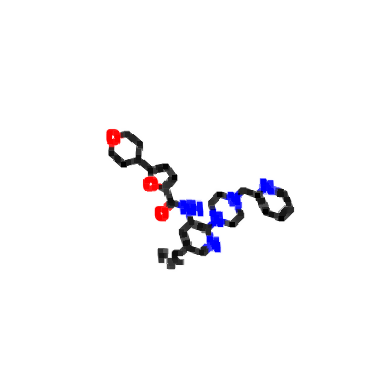 O=C(Nc1cc(C(F)(F)F)cnc1N1CCN(Cc2ccccn2)CC1)c1ccc(C2CCOCC2)o1